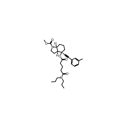 CCCN(CCC)C(=O)CCCC(=O)O[C@@]1(C#Cc2cccc(C)c2)CCC[C@@H]2[C@H]1CCN2C(=O)OC